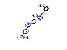 Cc1cccc(OCc2nnc([C@H]3CC[C@H](n4cc([C@@H]5CC[C@@H](N(C)C)CO5)nn4)CC3)n2C)c1